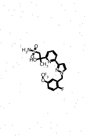 CC(O)(CS(N)(=O)=O)c1cccc(-c2ccn(Cc3cc(OC(F)(F)F)ccc3F)n2)n1